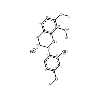 COc1ccc([C@H]2Oc3c(ccc(OC)c3OC)C[C@H]2O)c(O)c1